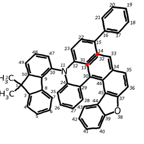 CC1(C)c2ccccc2-c2c(N(c3ccc(-c4ccccc4)cc3)c3ccccc3-c3cccc4ccc5oc6ccccc6c5c34)cccc21